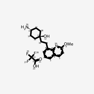 COc1ccc2cccc(CC[C@]3(O)CC[C@H](N)CC3)c2n1.O=C(O)C(F)(F)F